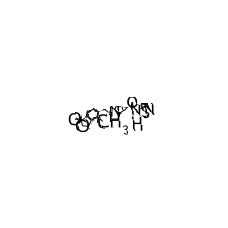 Cc1c(CCN2CC3C(C2)C3C(=O)Nc2ccns2)ccc2c1COC2=O